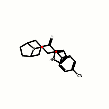 N#Cc1ccc(OCCN2C3CCC2CN(C(=O)c2ccc[nH]2)C3)cc1